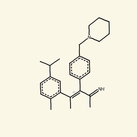 CC(=N)/C(=C(\C)c1cc(C(C)C)ccc1C)c1ccc(CN2CCCCC2)cc1